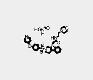 O=C(Cn1c2c(c3ccccc31)CCN(S(=O)(=O)c1ccc(Oc3ccncc3)cc1)C2)NCCN1CCOCC1.O=CNO